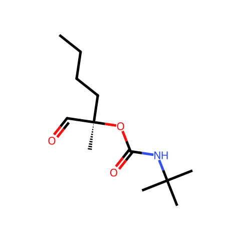 CCCC[C@](C)(C=O)OC(=O)NC(C)(C)C